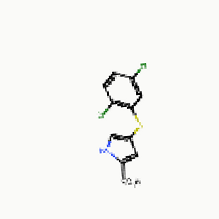 O=C(O)c1cc(Sc2cc(Cl)ccc2Cl)c[nH]1